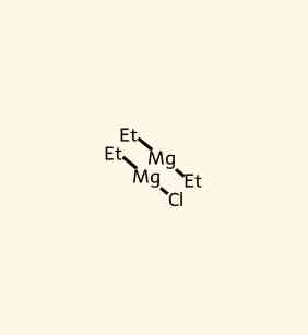 C[CH2][Mg][CH2]C.C[CH2][Mg][Cl]